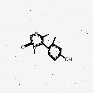 Cc1cc(O)ccc1-c1c(C)ncc(=O)n1C